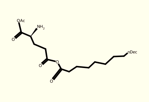 CCCCCCCCCCCCCCCCCC(=O)OC(=O)CC[C@H](N)C(=O)OC(C)=O